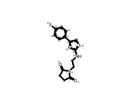 O=C1CCC(=O)N1CCNc1nc(-c2ccc(F)cc2)cs1